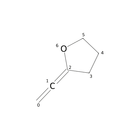 C=C=C1CCCO1